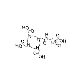 O=C(O)CN1CCN(CC(=O)O)CCN(CC(=O)NCC[C@@H](NCl)C(=O)O)CCN(CC(=O)O)CC1